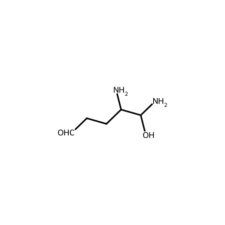 NC(O)C(N)CCC=O